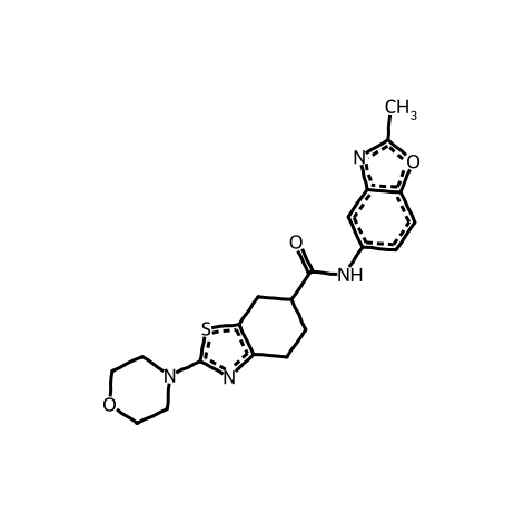 Cc1nc2cc(NC(=O)C3CCc4nc(N5CCOCC5)sc4C3)ccc2o1